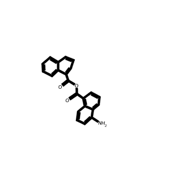 Nc1cccc2c(C(=O)OC(=O)c3cccc4ccccc34)cccc12